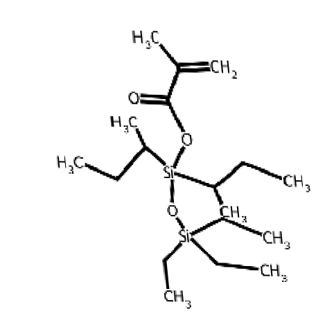 C=C(C)C(=O)O[Si](O[Si](CC)(CC)CC)(C(C)CC)C(C)CC